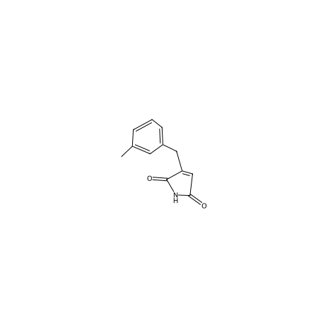 Cc1cccc(CC2=CC(=O)NC2=O)c1